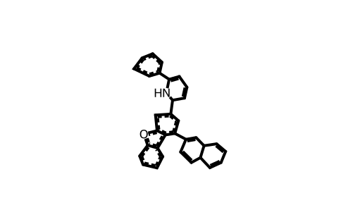 C1=CC(c2cc(C3=CC4C=CC=CC4C=C3)c3c(c2)oc2ccccc23)NC(c2ccccc2)=C1